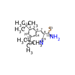 CC(C)(C)c1cc(/C=C(\C#N)C(N)=S)cc(C(C)(C)C)c1